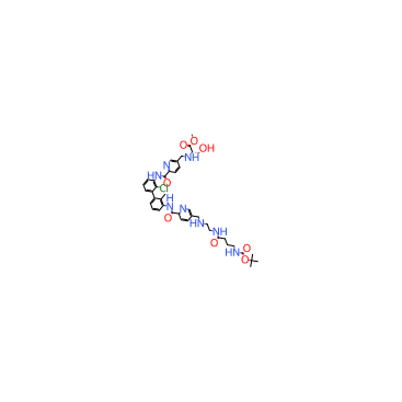 COC(=O)[C@H](CO)NCc1ccc(C(=O)Nc2cccc(-c3cccc(NC(=O)c4ccc(CNCCNC(=O)CCCNC(=O)OC(C)(C)C)cn4)c3C)c2Cl)nc1